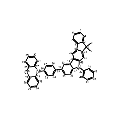 CC1(C)c2ccccc2-c2cc3c4cc(-c5ccc(N6c7ccccc7Oc7ccccc76)cc5)ccc4n(-c4ccccc4)c3cc21